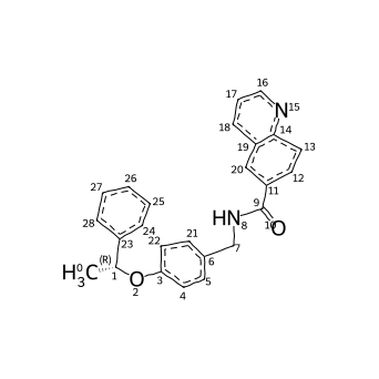 C[C@@H](Oc1ccc(CNC(=O)c2ccc3ncccc3c2)cc1)c1ccccc1